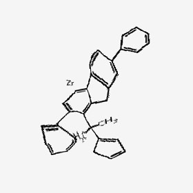 CC(C)(C1=CC=CC1)c1c(-c2ccccc2)ccc2c1Cc1cc(-c3ccccc3)ccc1-2.[Zr]